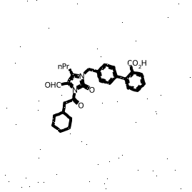 CCCc1c(C=O)n(C(=O)CC2CCCCC2)c(=O)n1Cc1ccc(-c2ccccc2C(=O)O)cc1